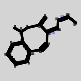 C=C1CN(C)c2ccccc2C#C/C1=C/C=C\C